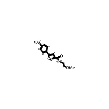 COCCNC(=O)c1cc(-c2ccc(C(C)(C)C)cc2)on1